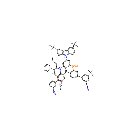 C/C=C/CCC/C=C(/C1C=CC=CC1)C(CCC)N1c2cc(-c3cccc(C#N)c3)ccc2B2c3ccc(-c4cc(C#N)cc(C(C)(C)C)c4)cc3Pc3cc(-n4c5ccc(C(C)(C)C)cc5c5cc(C(C)(C)C)ccc54)cc1c32